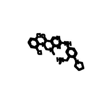 CNCc1cc(Nc2ncc3c(n2)N(C)CN(c2c(Cl)cccc2Cl)C3=O)ccc1N1CCCC1